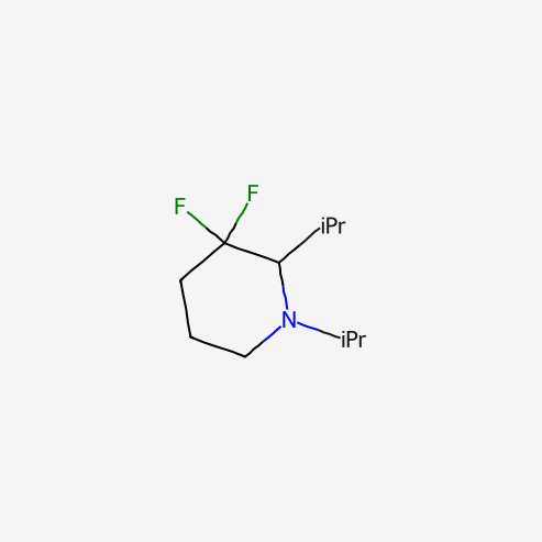 CC(C)C1N(C(C)C)CCCC1(F)F